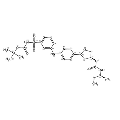 CC[C@H](C)NC(=O)O[C@@H]1CO[C@H](c2cnc(Nc3cccc(S(=O)(=O)NC(=O)OC(C)(C)C)c3)nc2)C1